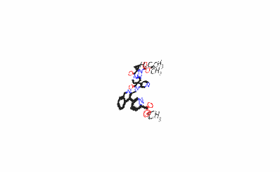 COC(=O)c1ccc(-c2c(CN3C(=O)C4(CCN(C(=O)C5(NC(=O)OC(C)(C)C)CC5)CC4)c4ccncc43)ncc3ccccc23)cn1